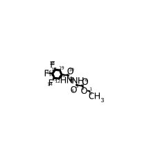 CCOC(=O)C(=O)NNC(=O)c1cc(F)c(F)c(F)c1